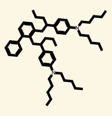 CCCCCN(CCCCC)c1ccc(C(CCC)Cc2cccc(-c3ccccc3)c2CC(CCC)c2ccc(N(CCCCC)CCCCC)cc2)cc1